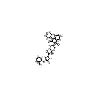 O=C(N[C@H]1CC[C@@H](n2c(=O)c3cc(F)cnc3n(C3CCSCC3)c2=O)CC1)C1CC(=O)N(Cc2ccccc2Cl)C1